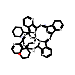 C1=NC2=C(CC1)/C1=N/c3c4ncccc4c4n3[Si](OCC3CCCCC3)(OCC3CCCCC3)N3/C(=N\C2=N1)c1cccnc1C3NC1=N/C(=N\4)C2=C1CCC=N2